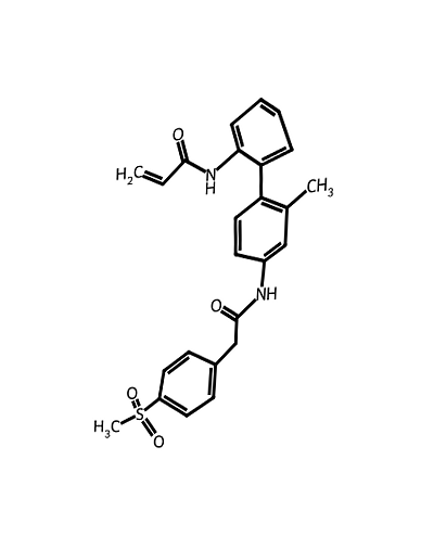 C=CC(=O)Nc1ccccc1-c1ccc(NC(=O)Cc2ccc(S(C)(=O)=O)cc2)cc1C